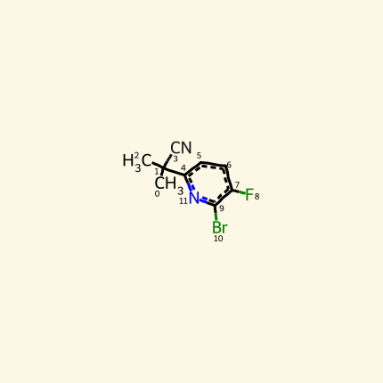 CC(C)(C#N)c1ccc(F)c(Br)n1